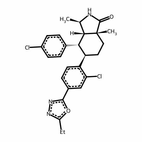 CCc1nnc(-c2ccc([C@@H]3CC[C@@]4(C)C(=O)N[C@H](C)[C@H]4[C@H]3c3ccc(Cl)cc3)c(Cl)c2)o1